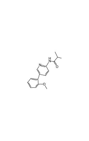 COc1ccccc1-c1ccc(NC(=O)C(C)C)nc1